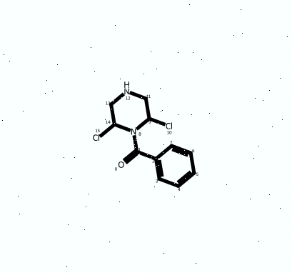 O=C(c1ccccc1)N1C(Cl)CNCC1Cl